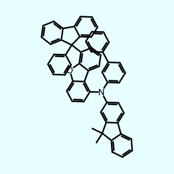 CC1(C)c2ccccc2-c2ccc(N(c3cccc(-c4ccccc4)c3)c3cccc4oc5c(C6(c7ccccc7)c7ccccc7-c7ccccc76)cccc5c34)cc21